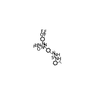 CC(C)c1ccccc1NC(=S)NN(C)Cc1ccc(-c2nc(NC(=O)C3CC3)n(-c3ccc(OC(F)(F)F)cc3)n2)cc1